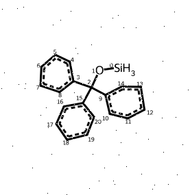 [SiH3]OC(c1ccccc1)(c1ccccc1)c1ccccc1